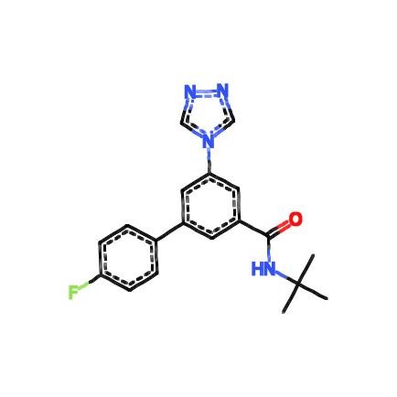 CC(C)(C)NC(=O)c1cc(-c2ccc(F)cc2)cc(-n2cnnc2)c1